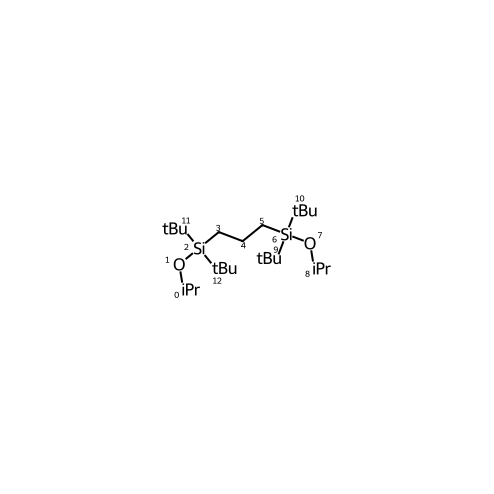 CC(C)O[Si](CCC[Si](OC(C)C)(C(C)(C)C)C(C)(C)C)(C(C)(C)C)C(C)(C)C